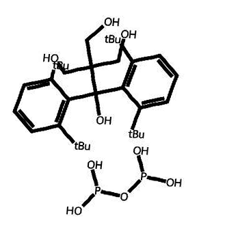 CC(C)(C)c1cccc(C(C)(C)C)c1C(O)(c1c(C(C)(C)C)cccc1C(C)(C)C)C(CO)(CO)CO.OP(O)OP(O)O